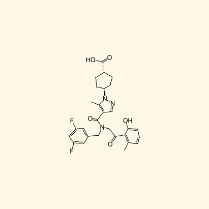 Cc1cccc(O)c1C(=O)CN(Cc1cc(F)cc(F)c1)C(=O)c1cnn([C@H]2CC[C@H](C(=O)O)CC2)c1C